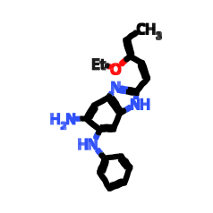 C/C=C(\C=C/c1nc2cc(N)c(Nc3ccccc3)cc2[nH]1)OCC